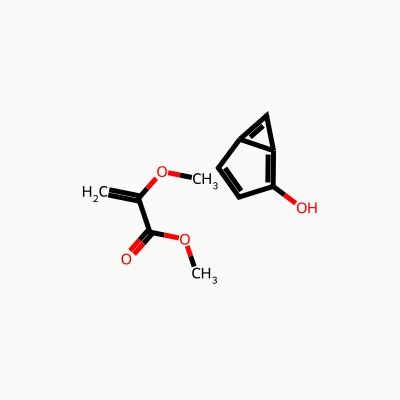 C=C(OC)C(=O)OC.Oc1ccc2cc1-2